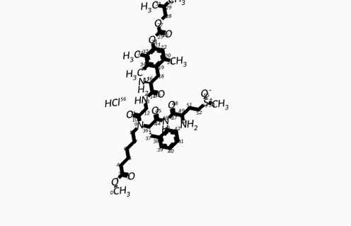 COC(=O)CCCCCN(C(=O)CNC(=O)[C@@H](N)Cc1c(C)cc(OC(=O)OCC(C)C)c(C)c1C)[C@@H](Cc1ccccc1)C(=O)NC(=O)C(N)CC[S+](C)[O-].Cl